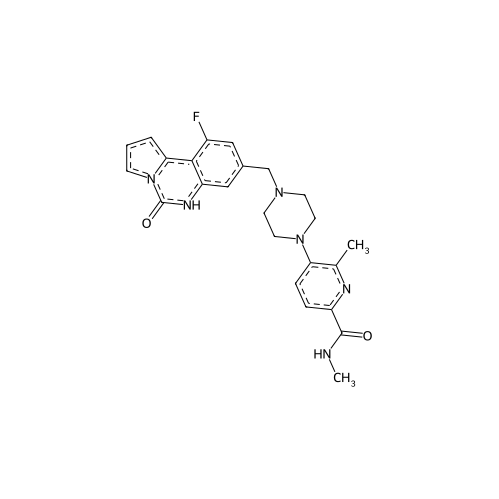 CNC(=O)c1ccc(N2CCN(Cc3cc(F)c4c(c3)[nH]c(=O)n3cccc43)CC2)c(C)n1